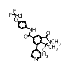 CN1C(=O)c2cc(C(=O)Nc3ccc(OC(F)(F)Cl)cc3)cc(-c3ccncc3)c2C1(C)C